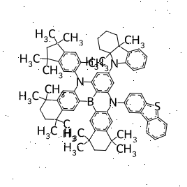 Cc1cc2c(cc1N1c3cc4c(cc3B3c5cc6c(cc5N(c5ccc7sc8ccccc8c7c5)c5cc(N7c8ccccc8C8(C)CCCCC78C)cc1c53)C(C)(C)CCC6(C)C)C(C)(C)CCC4(C)C)C(C)(C)CC2(C)C